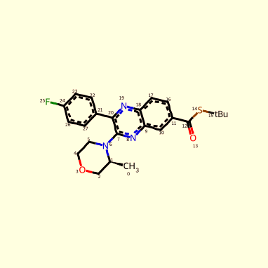 C[C@H]1COCCN1c1nc2cc(C(=O)SC(C)(C)C)ccc2nc1-c1ccc(F)cc1